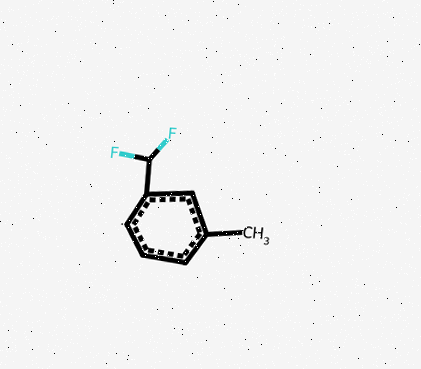 Cc1cc[c]c(C(F)F)c1